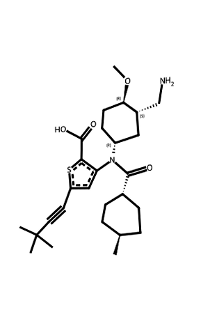 CO[C@@H]1CC[C@@H](N(c2cc(C#CC(C)(C)C)sc2C(=O)O)C(=O)[C@H]2CC[C@H](C)CC2)C[C@H]1CN